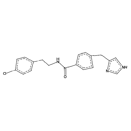 O=C(NCCc1ccc(Cl)cc1)c1ccc(Cc2c[nH]cn2)cc1